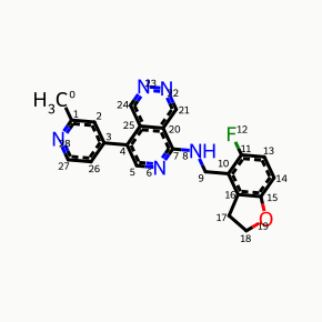 Cc1cc(-c2cnc(NCc3c(F)ccc4c3CCO4)c3cnncc23)ccn1